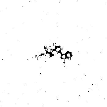 CN(c1nc(C2CNc3ncccc32)ncc1F)C1(C(=O)NCC(F)(F)F)CC1